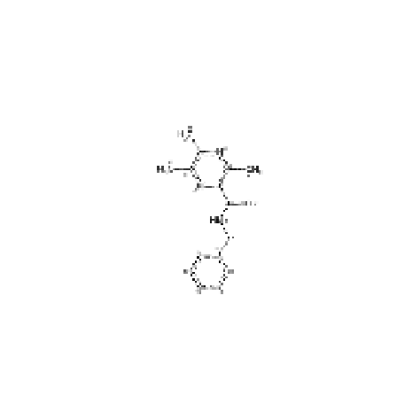 Cc1nc(C)c(C(=O)NCc2cc[c]cc2)nc1C